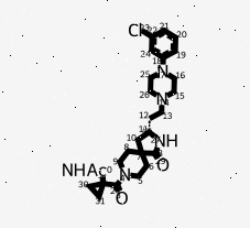 CC(=O)NC1(C(=O)N2CCC3(CC2)C[C@H](CCN2CCN(c4cccc(Cl)c4)CC2)NC3=O)CC1